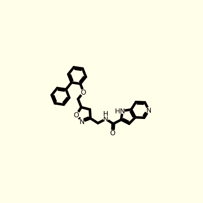 O=C(NCC1=NOC(COc2ccccc2-c2ccccc2)C1)c1cc2cnccc2[nH]1